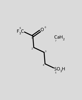 O=C(CCCS(=O)(=O)O)C(F)(F)F.[CaH2]